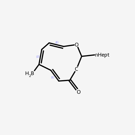 BC1=C/C=C/OC(CCCCCCC)CC(=O)\C=C\1